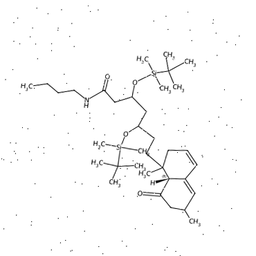 CCCCNC(=O)CC(CC(CCC1(C)CC=CC2=CC(C)CC(=O)[C@@H]21)O[Si](C)(C)C(C)(C)C)O[Si](C)(C)C(C)(C)C